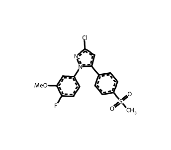 COc1cc(-n2nc(Cl)cc2-c2ccc(S(C)(=O)=O)cc2)ccc1F